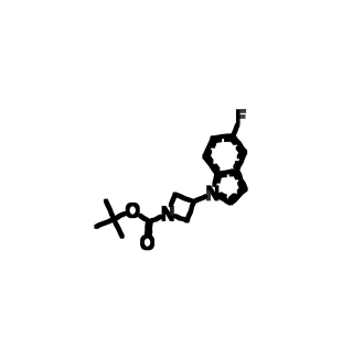 CC(C)(C)OC(=O)N1CC(n2ccc3cc(F)ccc32)C1